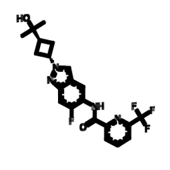 CC(C)(O)[C@H]1C[C@H](n2cc3cc(NC(=O)c4cccc(C(F)(F)F)n4)c(F)cc3n2)C1